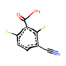 N#Cc1ccc(F)c(C(=O)O)c1F